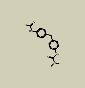 CC(=O)Nc1ccc(Cc2ccc(NC(=O)N(C)C)cc2)cc1